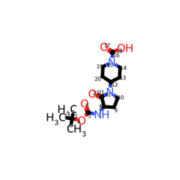 CC(C)(C)OC(=O)NC1CCN(C2CCN(C(=O)O)CC2)C1=O